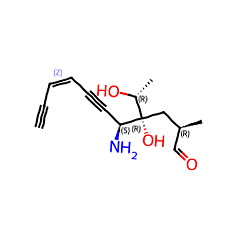 C#C/C=C\C#C[C@H](N)[C@](O)(C[C@@H](C)C=O)[C@@H](C)O